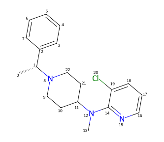 C[C@H](c1ccccc1)N1CCC(N(C)c2ncccc2Cl)CC1